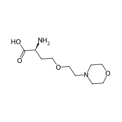 N[C@@H](CCOCCN1CCOCC1)C(=O)O